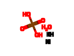 O.O=S(=O)(O)O.[KH].[Ni]